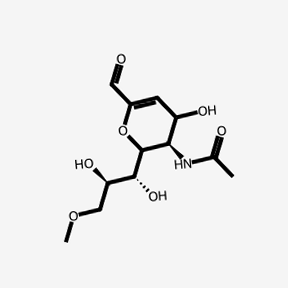 COC[C@@H](O)[C@@H](O)C1OC(C=O)=CC(O)[C@H]1NC(C)=O